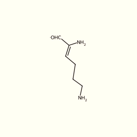 NCCCC=C(N)[C]=O